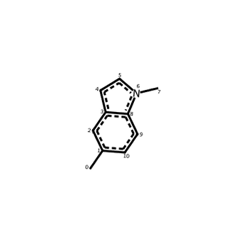 Cc1[c]c2ccn(C)c2cc1